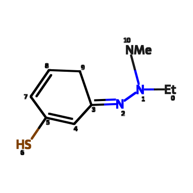 CCN(/N=C1/C=C(S)C=CC1)NC